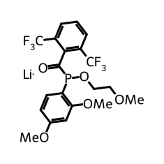 COCCOP(C(=O)c1c(C(F)(F)F)cccc1C(F)(F)F)c1ccc(OC)cc1OC.[Li]